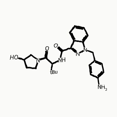 CC(C)(C)C(NC(=O)c1nn(Cc2ccc(N)cc2)c2ccccc12)C(=O)N1CCC(O)C1